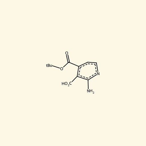 CC(C)(C)OC(=O)c1ccnc(N)c1C(=O)O